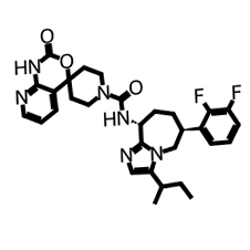 CCC(C)c1cnc2n1C[C@H](c1cccc(F)c1F)CC[C@H]2NC(=O)N1CCC2(CC1)OC(=O)Nc1ncccc12